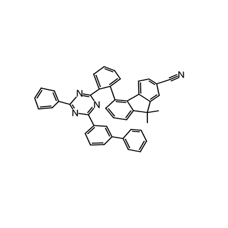 CC1(C)c2cc(C#N)ccc2-c2c(-c3ccccc3-c3nc(-c4ccccc4)nc(-c4cccc(-c5ccccc5)c4)n3)cccc21